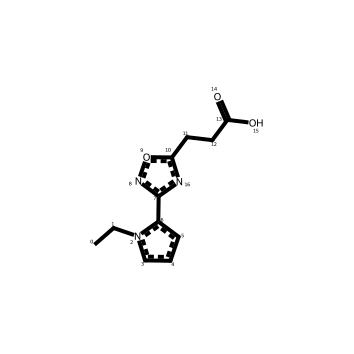 CCn1cccc1-c1noc(CCC(=O)O)n1